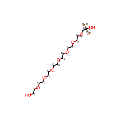 OCCOCCOCCOCCOCCOCCOCCOCC(O)(Br)Br